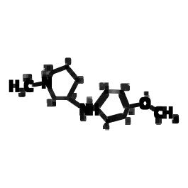 COc1ccc(NC2CCCN(C)C2)cc1